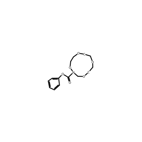 O=C(Oc1ccccc1)N1COCCOCCOCCO1